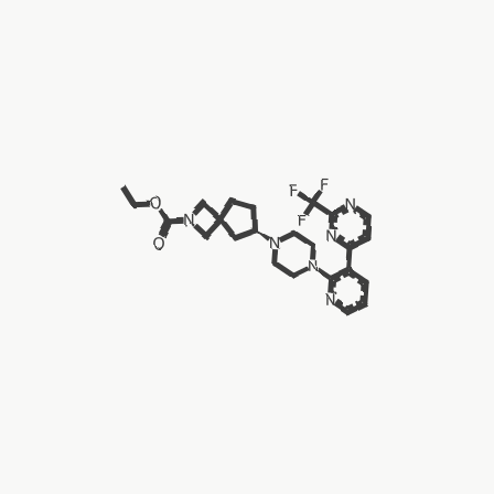 CCOC(=O)N1CC2(CC[C@@H](N3CCN(c4ncccc4-c4ccnc(C(F)(F)F)n4)CC3)C2)C1